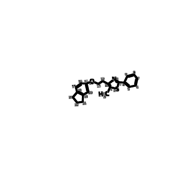 Cc1sc(-c2ccccc2)nc1CCOc1ccc2c(c1)CCC2